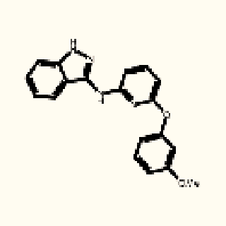 COc1cccc(Oc2cccc(Nc3n[nH]c4ccccc34)n2)c1